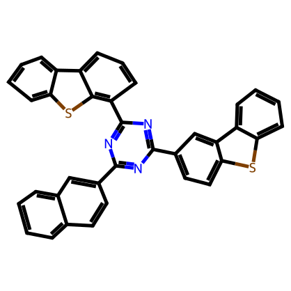 c1ccc2cc(-c3nc(-c4ccc5sc6ccccc6c5c4)nc(-c4cccc5c4sc4ccccc45)n3)ccc2c1